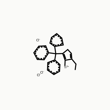 CCC1=CCC(C(c2ccccc2)(c2ccccc2)c2ccccc2)=[C]1[Ti+3].[Cl-].[Cl-].[Cl-]